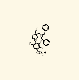 O=C(O)c1cc(F)c(N2CCC(CF)(CN(Cc3ccccc3)Cc3ccccc3)C2)c(F)c1F